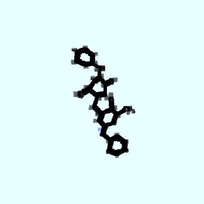 CC1=C/C(=C\c2ccccc2)C=C(CC2=CC(=O)C(Nc3ccccc3)=CC2=O)C1=O